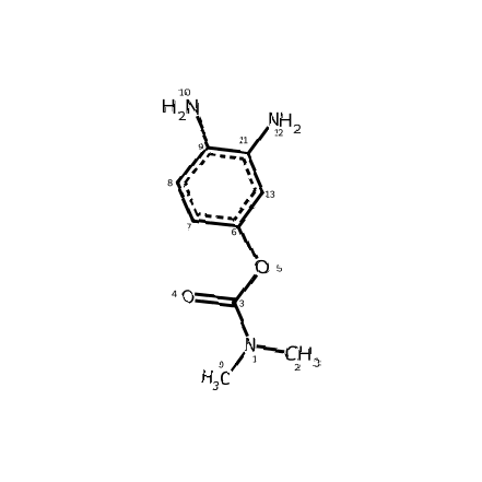 CN(C)C(=O)Oc1ccc(N)c(N)c1